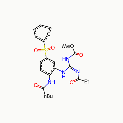 CCCCC(=O)Nc1ccc(S(=O)(=O)c2ccccc2)cc1NC(=NC(=O)CC)NC(=O)OC